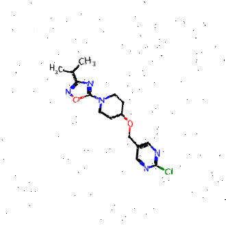 CC(C)c1noc(N2CCC(OCc3cnc(Cl)nc3)CC2)n1